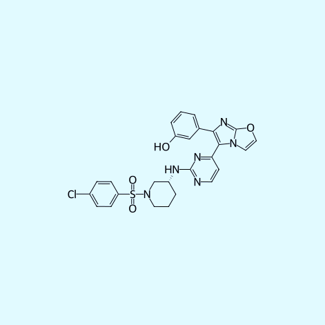 O=S(=O)(c1ccc(Cl)cc1)N1CCC[C@@H](Nc2nccc(-c3c(-c4cccc(O)c4)nc4occn34)n2)C1